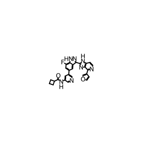 O=C(Nc1cncc(-c2cc(F)c3[nH]nc(-c4nc5c(-c6ccoc6)nccc5[nH]4)c3c2)c1)C1CCC1